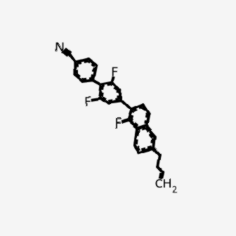 C=CCCc1ccc2c(F)c(-c3cc(F)c(-c4ccc(C#N)cc4)c(F)c3)ccc2c1